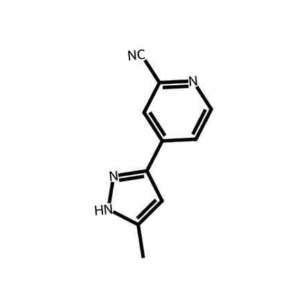 Cc1cc(-c2ccnc(C#N)c2)n[nH]1